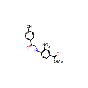 COC(=O)c1ccc(NCC(=O)c2ccc(C#N)cc2)c([N+](=O)[O-])c1